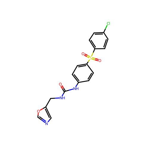 O=C(NCc1cnco1)Nc1ccc(S(=O)(=O)c2ccc(Cl)cc2)cc1